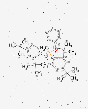 C=P(Oc1ccccc1)(Oc1ccc(C(C)(C)C)cc1C(C)(C)C)c1ccc(C(C)(C)C)cc1C(C)(C)C